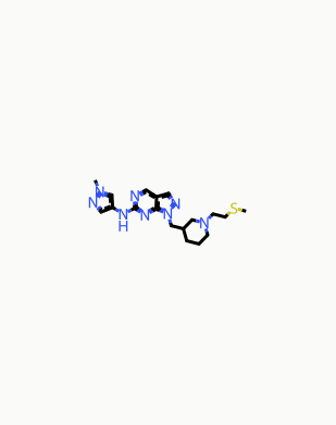 CSCCN1CCCC(Cn2ncc3cnc(Nc4cnn(C)c4)nc32)C1